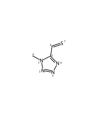 Cn1nnnc1[C]=S